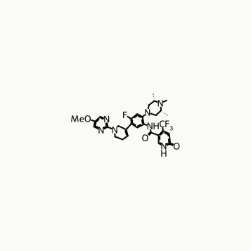 COc1cnc(N2CCC=C(c3cc(NC(=O)c4c[nH]c(=O)cc4C(F)(F)F)c(N4C[C@@H](C)N(C)[C@@H](C)C4)cc3F)C2)nc1